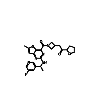 Cc1cc2nc(N[C@@H](C)c3cncc(F)c3)nc(C(=O)N3CC(CC(=O)C4CCCO4)C3)c2s1